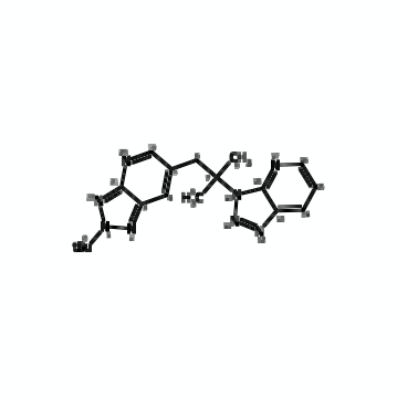 CC(C)(C)n1nc2cc(CC(C)(C)n3nnc4cccnc43)cnc2n1